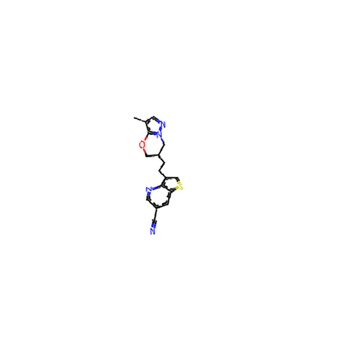 Cc1cnn2c1OCC(CCc1csc3cc(C#N)cnc13)C2